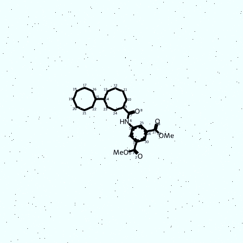 COC(=O)c1cc(NC(=O)C2CCCCC(C3CCCCCCC3)CC2)cc(C(=O)OC)c1